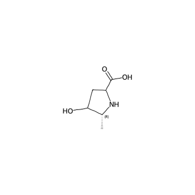 C[C@H]1NC(C(=O)O)CC1O